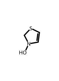 ON1C=CSC1